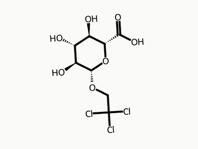 O=C(O)[C@@H]1O[C@H](OCC(Cl)(Cl)Cl)[C@@H](O)[C@H](O)[C@H]1O